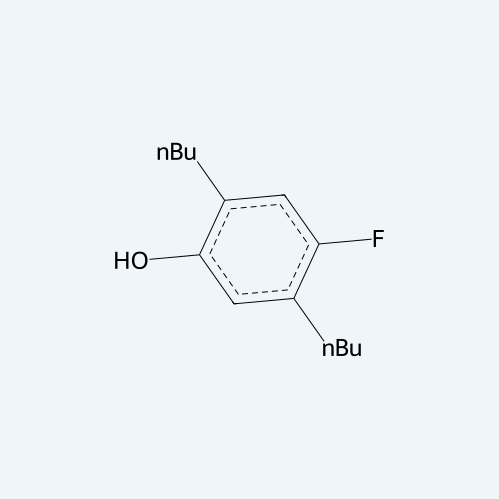 CCCCc1cc(F)c(CCCC)cc1O